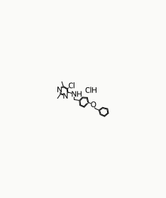 Cc1nc(C)c(Cl)c(NCc2ccc(OCc3ccccc3)cc2)n1.Cl